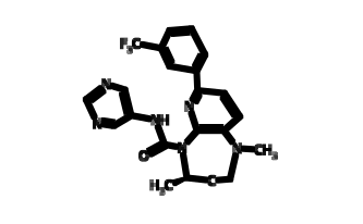 C[C@@H]1CCN(C)c2ccc(-c3cccc(C(F)(F)F)c3)nc2N1C(=O)Nc1cncnc1